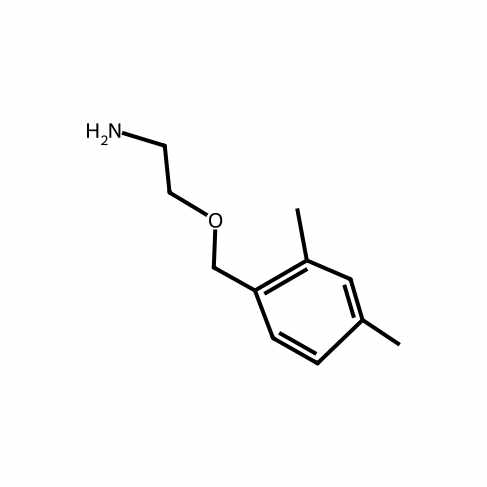 Cc1ccc(COCCN)c(C)c1